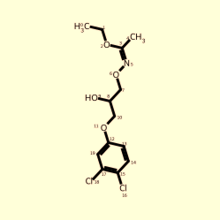 CCOC(C)=NOCC(O)COc1ccc(Cl)c(Cl)c1